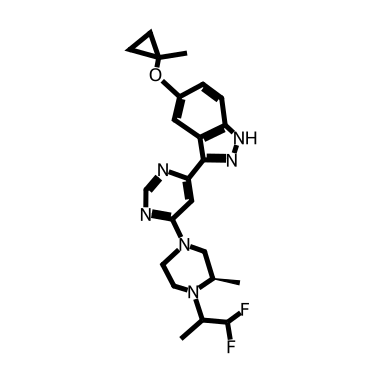 CC(C(F)F)N1CCN(c2cc(-c3n[nH]c4ccc(OC5(C)CC5)cc34)ncn2)C[C@H]1C